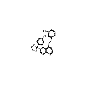 Clc1ccc(C2(c3ccc4nccc(CCc5cccc(Cl)c5)c4c3)OCCO2)cc1